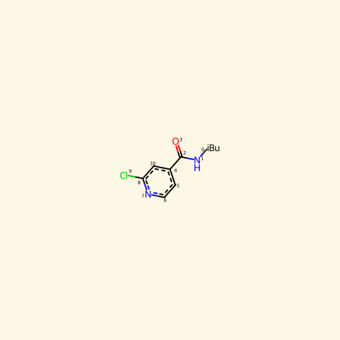 CCC(C)NC(=O)c1ccnc(Cl)c1